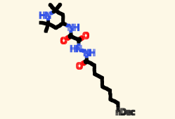 CCCCCCCCCCCCCCCCCC(=O)NNC(=O)C(=O)NC1CC(C)(C)NC(C)(C)C1